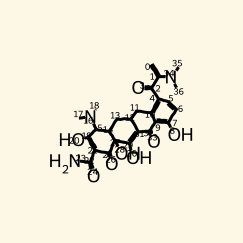 C=C(C(=O)c1ccc(O)c2c1CC1CC3C(N(C)C)C(O)=C(C(N)=O)C(=O)C3(O)C(O)=C1C2=O)N(C)C